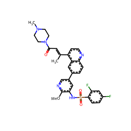 COc1ncc(-c2ccc3nccc(/C(C)=C/C(=O)N4CCN(C)CC4)c3c2)cc1NS(=O)(=O)c1ccc(F)cc1F